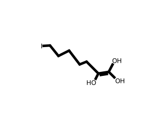 OC(O)=C(O)CCCCCI